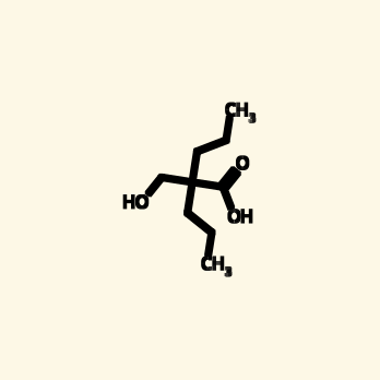 CCCC(CO)(CCC)C(=O)O